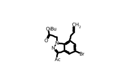 C=CCc1cc(Br)cc2c(C(C)=O)nn(CC(=O)OCC(C)C)c12